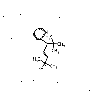 CC(C)(C)/C=C/C(c1ccccn1)C(C)(C)C